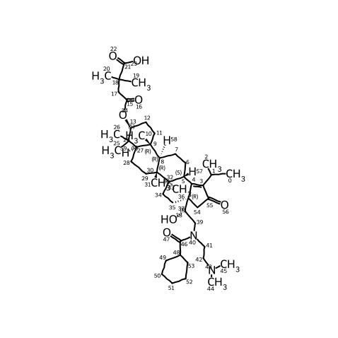 CC(C)C1=C2[C@H]3CC[C@@H]4[C@@]5(C)CC[C@H](OC(=O)CC(C)(C)C(=O)O)C(C)(C)[C@@H]5CC[C@@]4(C)[C@]3(C)CC[C@@]2([C@@H](O)CN(CCN(C)C)C(=O)C2CCCCC2)CC1=O